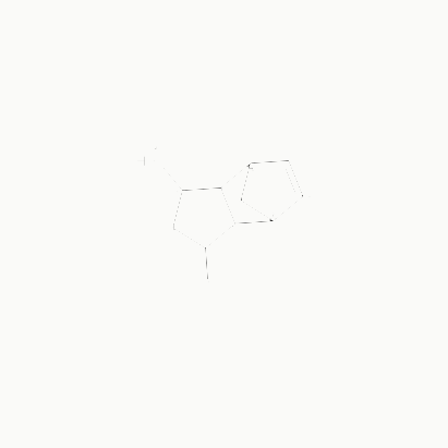 CC1[CH]C(C)C2C3C=CC(C3)C12